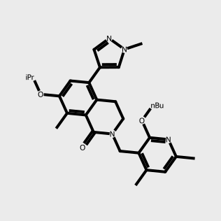 CCCCOc1nc(C)cc(C)c1CN1CCc2c(-c3cnn(C)c3)cc(OC(C)C)c(C)c2C1=O